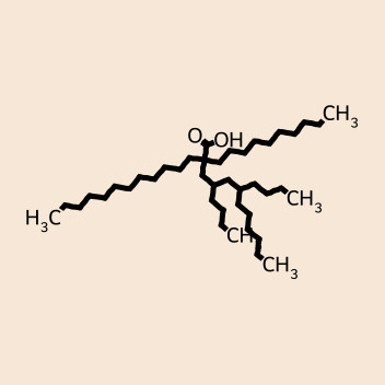 CCCCCCCCCCCCC(CCCCCCCCCC)(CC(CCCC)CC(CCCC)CCCCCC)C(=O)O